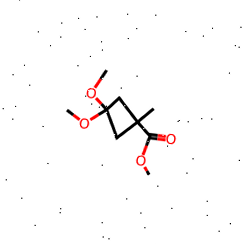 COC(=O)C1(C)CC(OC)(OC)C1